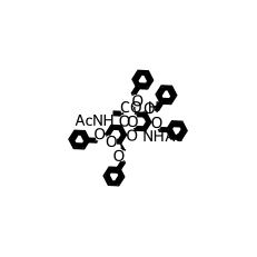 CC(=O)N[C@H]1[C@H](O[C@H]2[C@H](OC(C)C(=O)O)[C@@H](NC(C)=O)[C@@H](OCc3ccccc3)O[C@@H]2COCc2ccccc2)O[C@H](COCc2ccccc2)[C@@H](OCc2ccccc2)[C@@H]1OCc1ccccc1